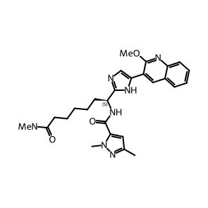 CNC(=O)CCCCC[C@H](NC(=O)c1cc(C)nn1C)c1ncc(-c2cc3ccccc3nc2OC)[nH]1